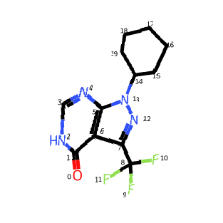 O=c1[nH]cnc2c1c(C(F)(F)F)nn2C1CCCCC1